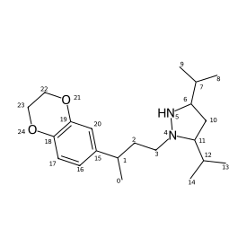 CC(CCN1NC(C(C)C)CC1C(C)C)c1ccc2c(c1)OCCO2